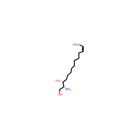 CCCCCCCC/C=C\CCCCCCCC[C@@H](O)[C@H](N)CO